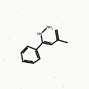 C=C(C)/C=C(\NN)c1ccccc1